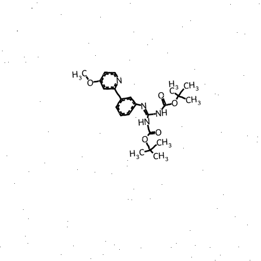 COc1ccnc(-c2cccc(N=C(NC(=O)OC(C)(C)C)NC(=O)OC(C)(C)C)c2)c1